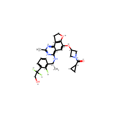 Cc1nc(N[C@H](C)c2cccc(C(F)(F)CO)c2F)c2cc(OC3CN(C(=O)C4CC4)C3)c3c(c2n1)CCO3